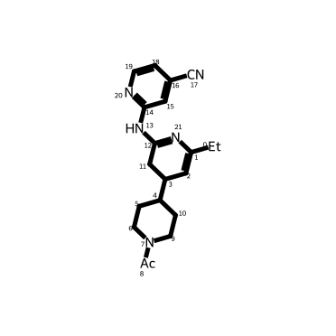 CCC1=CC(C2CCN(C(C)=O)CC2)CC(Nc2cc(C#N)ccn2)=N1